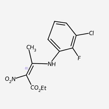 CCOC(=O)/C(=C(/C)Nc1cccc(Cl)c1F)[N+](=O)[O-]